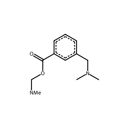 CNCOC(=O)c1cccc(CN(C)C)c1